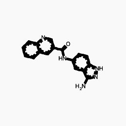 Nc1n[nH]c2ccc(NC(=O)c3cnc4ccccc4c3)cc12